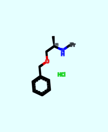 CC(C)N[C@H](C)COCc1ccccc1.Cl